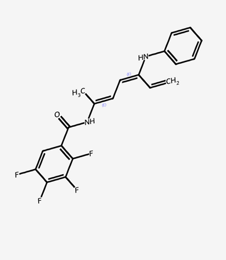 C=C/C(=C\C=C(/C)NC(=O)c1cc(F)c(F)c(F)c1F)Nc1ccccc1